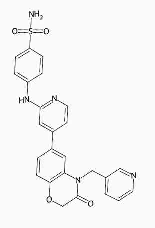 NS(=O)(=O)c1ccc(Nc2cc(-c3ccc4c(c3)N(Cc3cccnc3)C(=O)CO4)ccn2)cc1